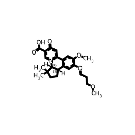 COCCCOc1cc2c(cc1OC)-c1cc(=O)c(C(=O)O)cn1[C@@H]1[C@H]2CCC1(C)C